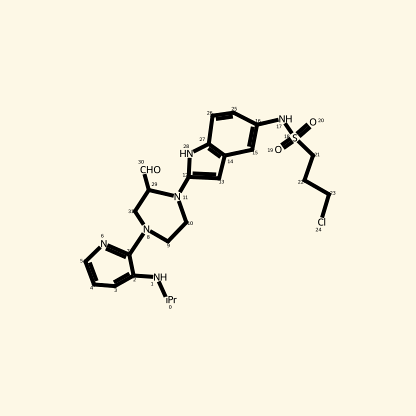 CC(C)Nc1cccnc1N1CCN(c2cc3cc(NS(=O)(=O)CCCCl)ccc3[nH]2)C(C=O)C1